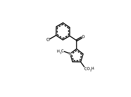 Cn1cc(C(=O)O)cc1C(=O)c1cccc(Cl)c1